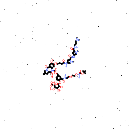 C=C1C[C@H]2C(O)N(C(=O)OCc3ccc(O[C@@H]4O[C@H](C(=O)O)[C@@H](O)[C@H](O)[C@H]4O)c(C(=O)NCCOCCONC(=O)OC(C)(C)C)c3)c3cc(OCCCC(=O)Nc4cc(C(=O)Nc5cc(C(=O)NCCCN(C)C)n(C)c5)n(C)c4)c(OC)cc3C(=O)N2C1